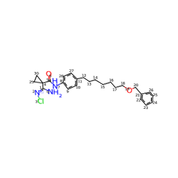 N/C(=N\Cl)C1(C(=O)Nc2ccc(CCCCCCCOCc3ccccc3)cc2)CC1